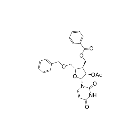 CC(=O)O[C@@H]1[C@H](COC(=O)c2ccccc2)[C@@H](COCc2ccccc2)O[C@H]1n1ccc(=O)[nH]c1=O